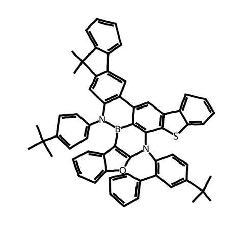 CC(C)(C)c1ccc(N2B3c4c(cc5c(sc6ccccc65)c4N(c4ccc(C(C)(C)C)cc4-c4ccccc4)c4oc5ccccc5c43)-c3cc4c(cc32)C(C)(C)c2ccccc2-4)cc1